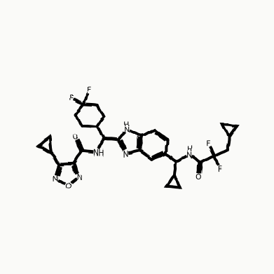 O=C(NC(c1nc2cc(C(NC(=O)C(F)(F)CC3CC3)C3CC3)ccc2[nH]1)C1CCC(F)(F)CC1)c1nonc1C1CC1